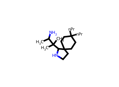 CCCC1(CCC)CCC2(CCNC2C(C)(C)C(C)N)CC1